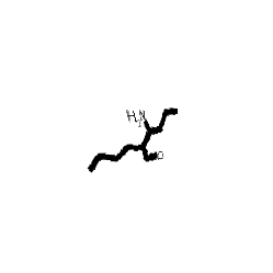 CCCCC(C=O)=C(N)CCC